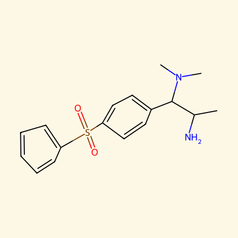 CC(N)C(c1ccc(S(=O)(=O)c2ccccc2)cc1)N(C)C